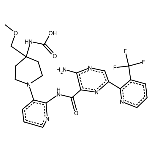 COCC1(NC(=O)O)CCN(c2cccnc2NC(=O)c2nc(-c3ncccc3C(F)(F)F)cnc2N)CC1